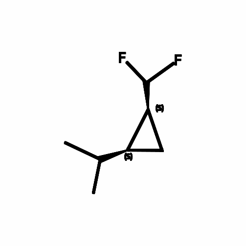 CC(C)[C@@H]1C[C@@H]1C(F)F